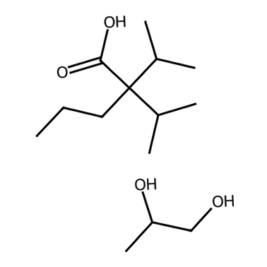 CC(O)CO.CCCC(C(=O)O)(C(C)C)C(C)C